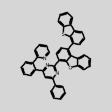 c1ccc(-c2cc(-c3ccccc3-c3ccccn3)nc(-c3ccc(-c4cccc5c4sc4ccccc45)c4c3oc3ccccc34)n2)cc1